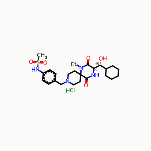 CCN1C(=O)[C@@H]([C@H](O)C2CCCCC2)NC(=O)C12CCN(Cc1ccc(NS(C)(=O)=O)cc1)CC2.Cl